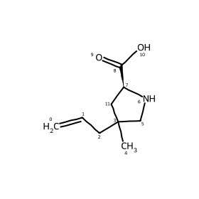 C=CCC1(C)CN[C@H](C(=O)O)C1